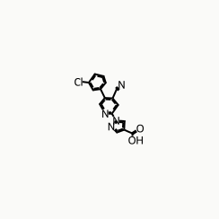 N#Cc1cc(-n2cc(C(=O)O)cn2)ncc1-c1cccc(Cl)c1